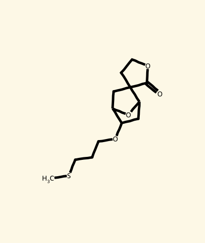 CSCCCOC1CC2OC1CC21CCOC1=O